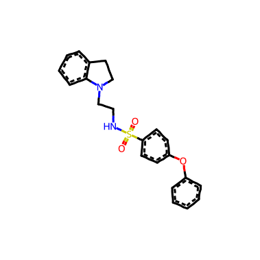 O=S(=O)(NCCN1CCc2ccccc21)c1ccc(Oc2ccccc2)cc1